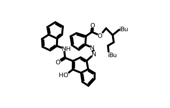 CCC(C)CCC(COC(=O)c1ccccc1N=Nc1cc(C(=O)Nc2cccc3ccccc23)c(O)c2ccccc12)C(C)CC